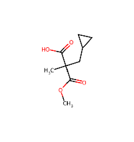 COC(=O)C(C)(CC1CC1)C(=O)O